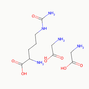 NC(=O)NCCCC(N)C(=O)O.NCC(=O)O.NCC(=O)O